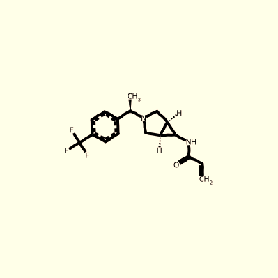 C=CC(=O)NC1[C@H]2CN([C@H](C)c3ccc(C(F)(F)F)cc3)C[C@@H]12